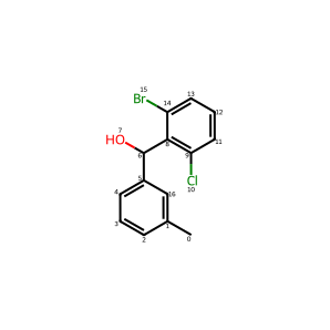 Cc1cccc(C(O)c2c(Cl)cccc2Br)c1